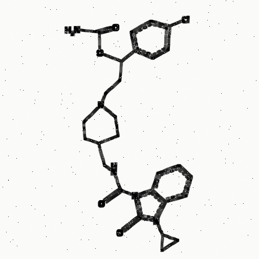 NC(=O)OC(CCN1CCC(CNC(=O)n2c(=O)n(C3CC3)c3ccccc32)CC1)c1ccc(Cl)cc1